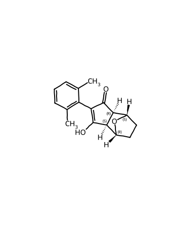 Cc1cccc(C)c1C1=C(O)[C@H]2[C@@H](C1=O)[C@@H]1CC[C@H]2O1